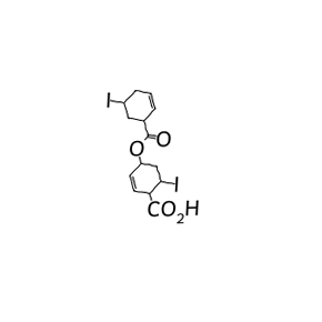 O=C(OC1C=CC(C(=O)O)C(I)C1)C1C=CCC(I)C1